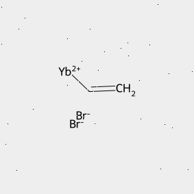 C=[CH][Yb+2].[Br-].[Br-]